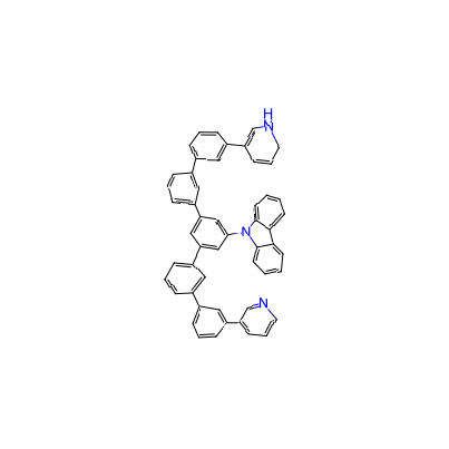 C1=CC(c2cccc(-c3cccc(-c4cc(-c5cccc(-c6cccc(-c7cccnc7)c6)c5)cc(-n5c6ccccc6c6ccccc65)c4)c3)c2)=CNC1